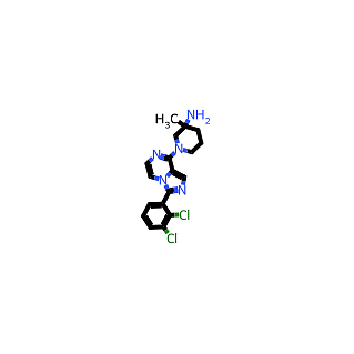 CC1(N)CCCN(c2nccn3c(-c4cccc(Cl)c4Cl)ncc23)C1